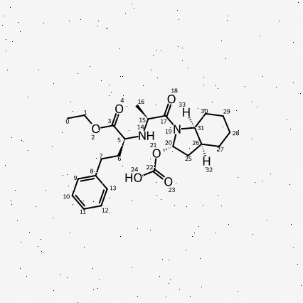 CCOC(=O)[C@H](CCc1ccccc1)N[C@@H](C)C(=O)N1[C@@H](OC(=O)O)C[C@@H]2CCCC[C@@H]21